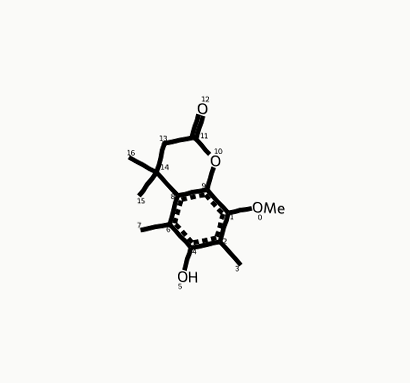 COc1c(C)c(O)c(C)c2c1OC(=O)CC2(C)C